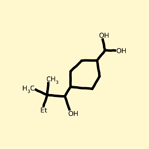 CCC(C)(C)C(O)C1CCC(C(O)O)CC1